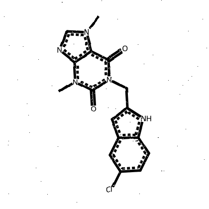 Cn1cnc2c1c(=O)n(Cc1cc3cc(Cl)ccc3[nH]1)c(=O)n2C